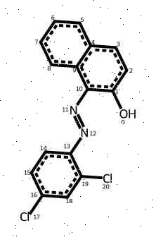 Oc1ccc2ccccc2c1N=Nc1ccc(Cl)cc1Cl